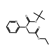 CCOC(=O)CN(C(=O)OC(C)(C)C)c1ccccn1